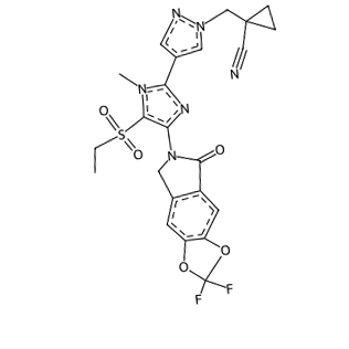 CCS(=O)(=O)c1c(N2Cc3cc4c(cc3C2=O)OC(F)(F)O4)nc(-c2cnn(CC3(C#N)CC3)c2)n1C